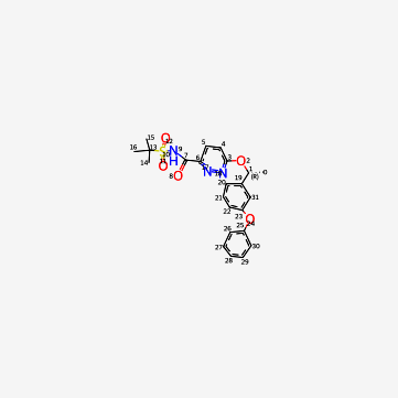 C[C@@H](Oc1ccc(C(=O)NS(=O)(=O)C(C)(C)C)nn1)c1cccc(Oc2ccccc2)c1